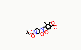 Cc1c(CN2C(=O)OC3CN(C(=O)OC(C)(C)C)CCC32)ccc2c1COC2=O